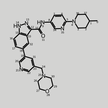 CC1CCN(c2ccc(NC(=O)c3n[nH]c4ccc(-c5cncc(CN6CCOCC6)c5)cc34)cn2)CC1